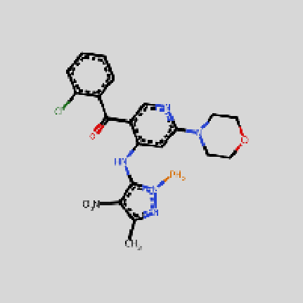 Cc1nn(P)c(Nc2cc(N3CCOCC3)ncc2C(=O)c2ccccc2Cl)c1[N+](=O)[O-]